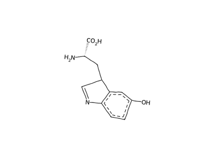 N[C@@H](CC1C=Nc2ccc(O)cc21)C(=O)O